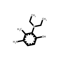 CCN(CC)c1c(O)ccc(N)c1C